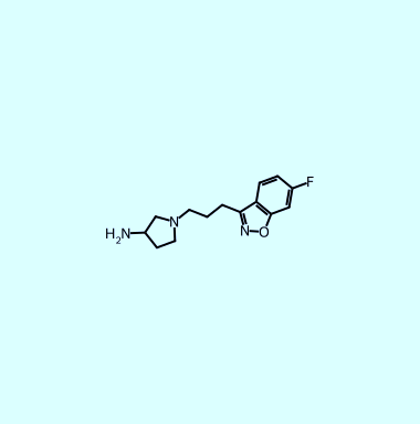 NC1CCN(CCCc2noc3cc(F)ccc23)C1